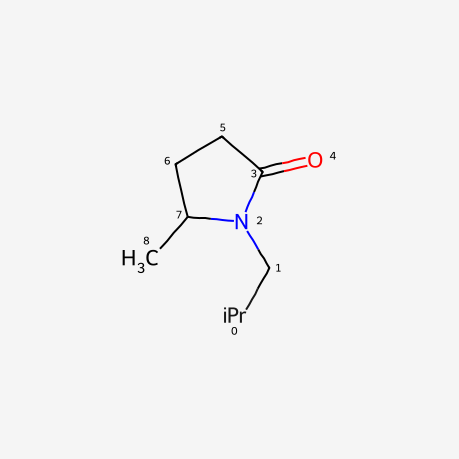 CC(C)CN1C(=O)CCC1C